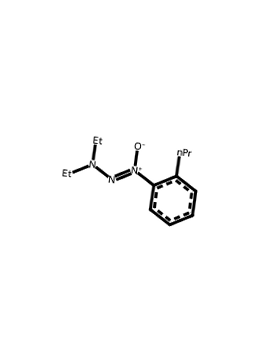 CCCc1ccccc1[N+]([O-])=NN(CC)CC